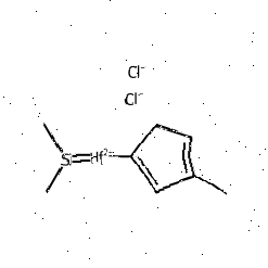 CC1=CC[C]([Hf+2]=[Si](C)C)=C1.[Cl-].[Cl-]